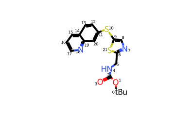 CC(C)(C)OC(=O)NCc1ncc(Sc2ccc3cccnc3c2)s1